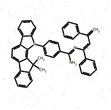 C=C(/C=C(\N=C(/N)c1ccc(-n2c3ccccc3c3ccc4c(c32)C(C)(C)c2ccccc2-4)cc1)c1ccccc1)c1ccccc1